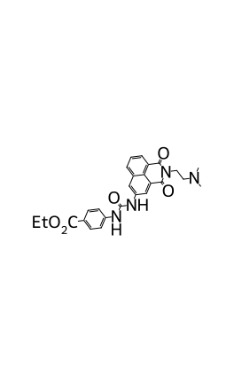 CCOC(=O)c1ccc(NC(=O)Nc2cc3c4c(cccc4c2)C(=O)N(CCN(C)C)C3=O)cc1